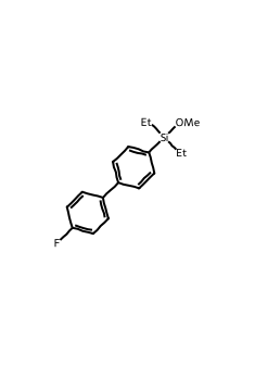 CC[Si](CC)(OC)c1ccc(-c2ccc(F)cc2)cc1